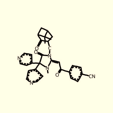 CN1C(=CC(=O)c2ccc(C#N)cc2)N(CC2CC3CC(C2=O)C3(C)C)C(=O)C1(c1ccncc1)c1ccncc1